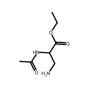 CCOC(=O)C(CN)NC(C)=O